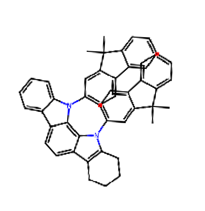 CC1(C)c2ccccc2-c2ccc(-n3c4c(c5ccc6c7ccccc7n(-c7ccc8c(c7)C(C)(C)c7ccccc7-8)c6c53)CCCC4)cc21